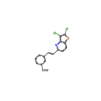 O=Cc1cccc(C=Cc2ccc3sc(Cl)c(Cl)c3n2)c1